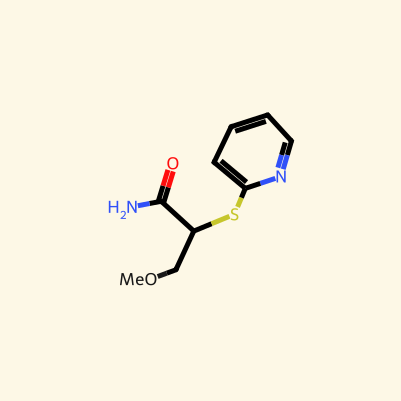 COCC(Sc1ccccn1)C(N)=O